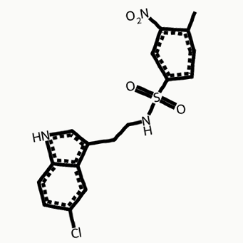 Cc1ccc(S(=O)(=O)NCCc2c[nH]c3ccc(Cl)cc23)cc1[N+](=O)[O-]